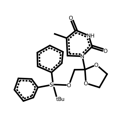 Cc1cn(C2(CO[Si](c3ccccc3)(c3ccccc3)C(C)(C)C)OCCO2)c(=O)[nH]c1=O